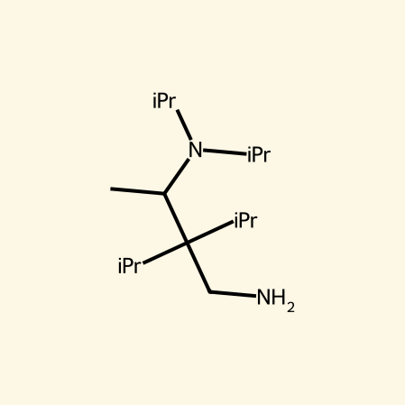 CC(C)N(C(C)C)C(C)C(CN)(C(C)C)C(C)C